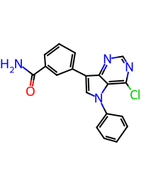 NC(=O)c1cccc(-c2cn(-c3ccccc3)c3c(Cl)ncnc23)c1